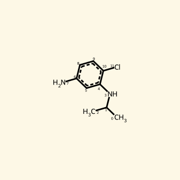 CC(C)Nc1cc(N)ccc1Cl